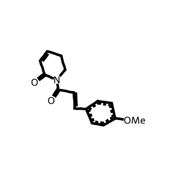 COc1ccc(/C=C/C(=O)N2CCC=CC2=O)cc1